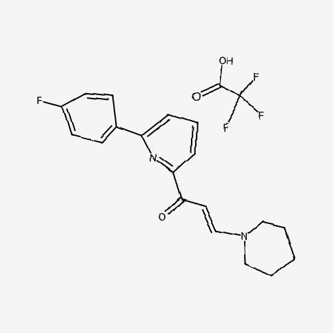 O=C(C=CN1CCCCC1)c1cccc(-c2ccc(F)cc2)n1.O=C(O)C(F)(F)F